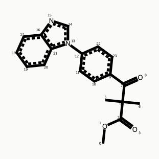 COC(=O)C(C)(C)C(=O)c1ccc(-n2cnc3ccccc32)cc1